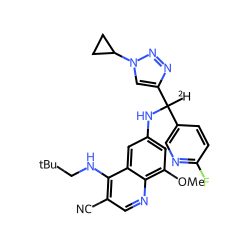 [2H]C(Nc1cc(OC)c2ncc(C#N)c(NCC(C)(C)C)c2c1)(c1ccc(F)nc1)c1cn(C2CC2)nn1